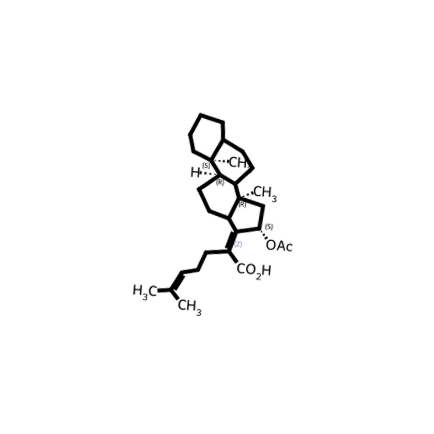 CC(=O)O[C@H]1C[C@@]2(C)C(CC[C@@H]3C2CCC2CCCC[C@@]23C)/C1=C(\CCC=C(C)C)C(=O)O